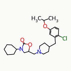 CC(C)Oc1ccc(Cl)c(CC2CCN(CC3CN(C4CCCCC4)C(=O)O3)CC2)c1